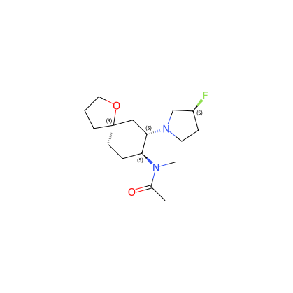 CC(=O)N(C)[C@H]1CC[C@@]2(CCCO2)C[C@@H]1N1CC[C@H](F)C1